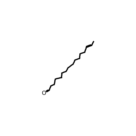 CC=CCCCCCCCCCCCCC=O